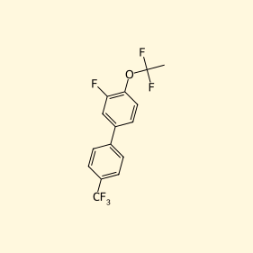 CC(F)(F)Oc1ccc(-c2ccc(C(F)(F)F)cc2)cc1F